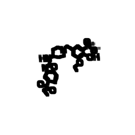 CCOc1cc(CN2CCC(Nc3nc4cc(S(=O)(=O)CC)ccc4o3)CC2)cc([N+](=O)[O-])c1O